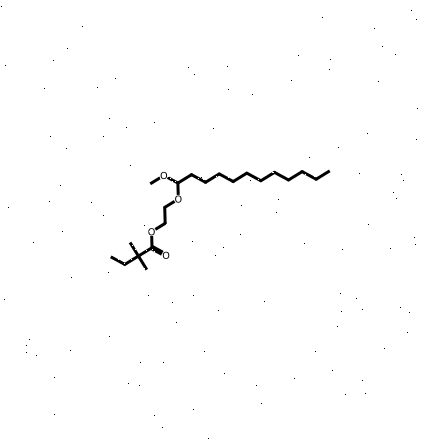 CCCCCCCCCCCC(OC)OCCOC(=O)C(C)(C)CC